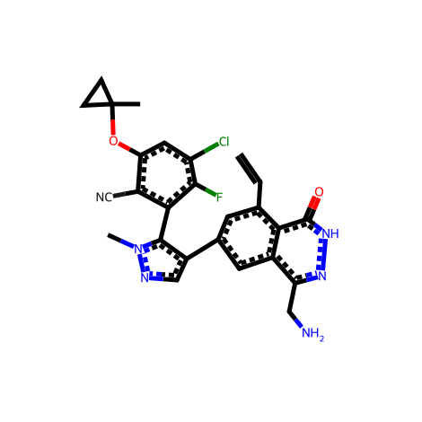 C=Cc1cc(-c2cnn(C)c2-c2c(F)c(Cl)cc(OC3(C)CC3)c2C#N)cc2c(CN)n[nH]c(=O)c12